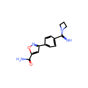 N=C(c1ccc(-c2cc(C(N)=O)on2)cc1)N1CCC1